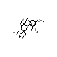 CCC1(CC)CCC(C)(C)N(c2c(C)cc(C)cc2C)C1